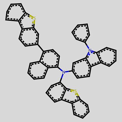 c1ccc(-n2c3ccccc3c3ccc(N(c4ccc(-c5ccc6c(c5)sc5ccccc56)c5ccccc45)c4cccc5c4sc4ccccc45)cc32)cc1